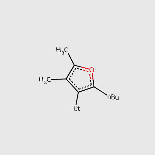 CCCCc1oc(C)c(C)c1CC